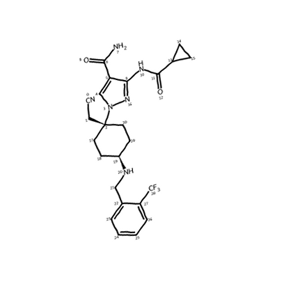 N#CC[C@]1(n2cc(C(N)=O)c(NC(=O)C3CC3)n2)CC[C@H](NCc2ccccc2C(F)(F)F)CC1